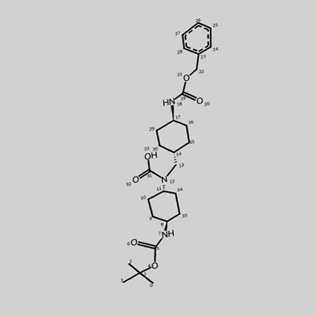 CC(C)(C)OC(=O)N[C@H]1CC[C@H](N(C[C@H]2CC[C@H](NC(=O)OCc3ccccc3)CC2)C(=O)O)CC1